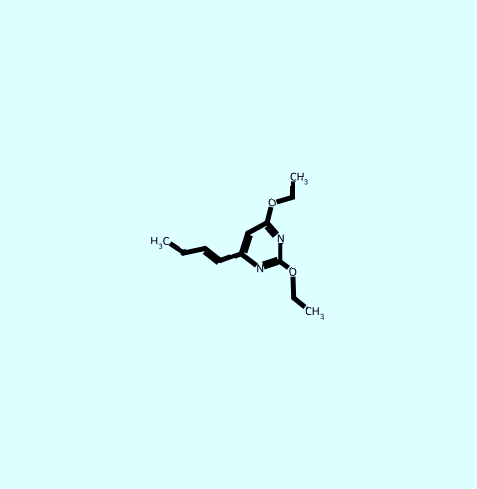 CC[C]=Cc1cc(OCC)nc(OCC)n1